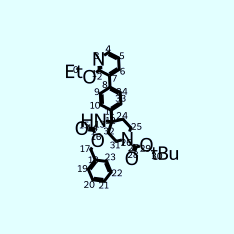 CCOc1ncccc1-c1ccc(C2(NC(=O)OCc3ccccc3)CCN(C(=O)OC(C)(C)C)CC2)cc1